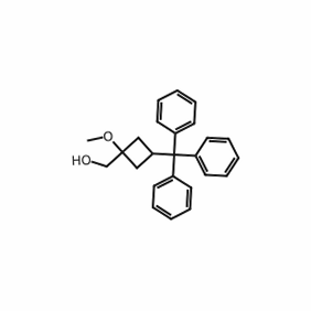 COC1(CO)CC(C(c2ccccc2)(c2ccccc2)c2ccccc2)C1